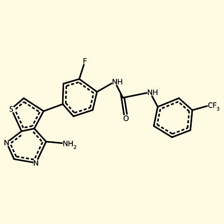 Nc1ncnc2scc(-c3ccc(NC(=O)Nc4cccc(C(F)(F)F)c4)c(F)c3)c12